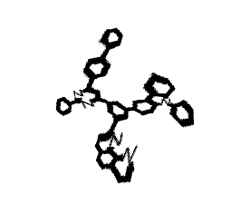 C1=CC(c2cc(-c3cc(-c4ccc(-c5ccccc5)cc4)nc(-c4ccccc4)n3)cc(-c3ccc4ccc5cccnc5c4n3)c2)Cc2c1n(-c1ccccc1)c1ccccc21